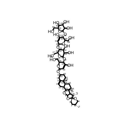 C[C@@H]1CC[C@@]2(OC1)OC1OC3C4CC=C5C[C@@H](O[C@H]6C=C(O)[C@H](O[C@H]7OC(CO)[C@@H](O[C@H]8C=C(O)[C@H](O[C@H]9OC(CO)[C@@H](O)C(O)C9O)C(CO)O8)C(O)C7O)C(CO)O6)CC[C@]5(C)C4CC[C@]3(C)C1[C@@H]2C